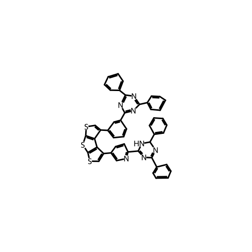 c1ccc(C2=NC(c3ccccc3)NC(c3ccc(-c4csc5sc6scc(-c7cccc(-c8nc(-c9ccccc9)nc(-c9ccccc9)n8)c7)c6c45)cn3)=N2)cc1